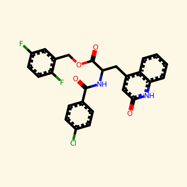 O=C(NC(Cc1cc(=O)[nH]c2ccccc12)C(=O)OCc1cc(F)ccc1F)c1ccc(Cl)cc1